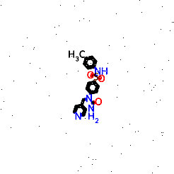 Cc1ccc(NS(=O)(=O)c2ccc(N(Cc3ccncc3)C(N)=O)cc2)cc1